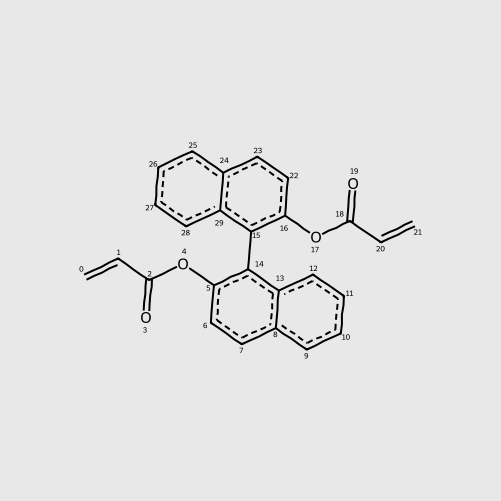 C=CC(=O)Oc1ccc2ccccc2c1-c1c(OC(=O)C=C)ccc2ccccc12